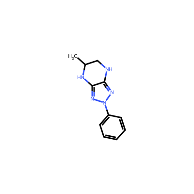 CC1CNc2nn(-c3ccccc3)nc2N1